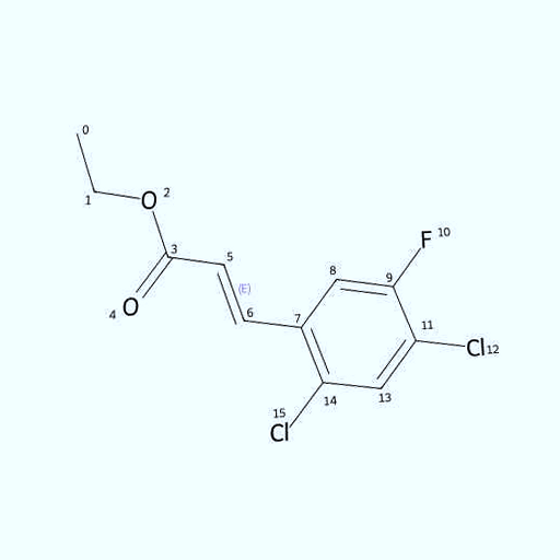 CCOC(=O)/C=C/c1cc(F)c(Cl)cc1Cl